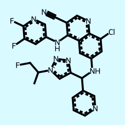 CC(CF)n1cc(C(Nc2cc(Cl)c3ncc(C#N)c(Nc4cnc(F)c(F)c4)c3c2)c2cccnc2)nn1